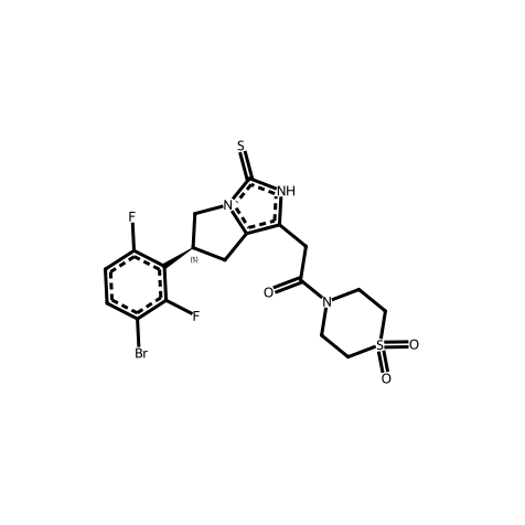 O=C(Cc1[nH]c(=S)n2c1C[C@@H](c1c(F)ccc(Br)c1F)C2)N1CCS(=O)(=O)CC1